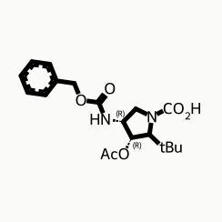 CC(=O)O[C@H]1C(C(C)(C)C)N(C(=O)O)C[C@H]1NC(=O)OCc1ccccc1